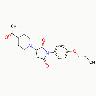 CCCOc1ccc(N2C(=O)CC(N3CCC(C(C)=O)CC3)C2=O)cc1